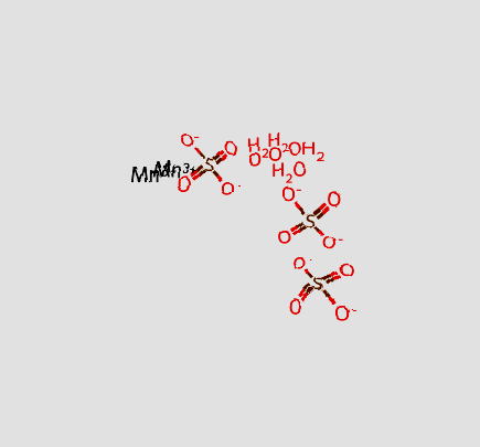 O.O.O.O.O=S(=O)([O-])[O-].O=S(=O)([O-])[O-].O=S(=O)([O-])[O-].[Mn+3].[Mn+3]